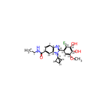 CCNC(=O)c1ccc2nc(-c3cc(OC)c(O)c(O)c3F)n(C34CC(C3)C4)c2c1